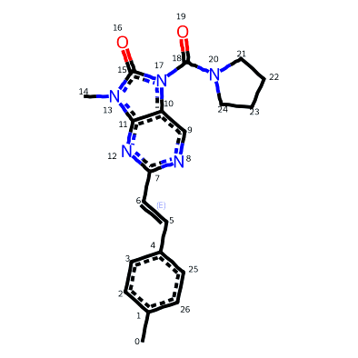 Cc1ccc(/C=C/c2ncc3c(n2)n(C)c(=O)n3C(=O)N2CCCC2)cc1